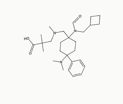 CN(CC(C)(C)C(=O)O)CC1(N(C=O)CC2CCC2)CCC(c2ccccc2)(N(C)C)CC1